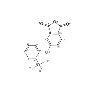 O=C1OC(=O)c2cc(Oc3ccccc3C(F)(F)F)ccc21